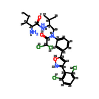 CC[C@H](C)[C@H](N)C(=O)N[C@H](CN(C(=O)C(Cl)Cl)c1cccc(-c2cc(-c3c(Cl)cccc3Cl)no2)c1)C(C)C